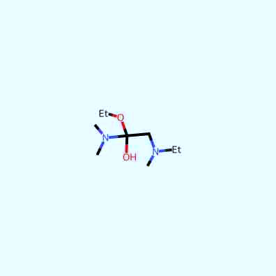 CCOC(O)(CN(C)CC)N(C)C